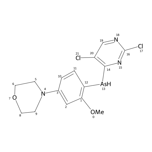 COc1cc(N2CCOCC2)ccc1[AsH]c1nc(Cl)ncc1Cl